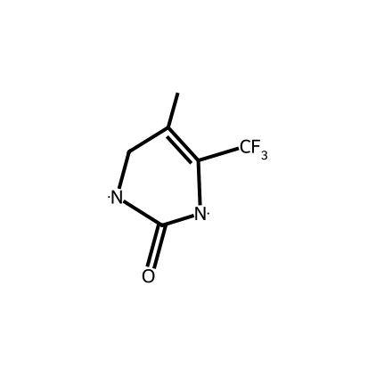 CC1=C(C(F)(F)F)[N]C(=O)[N]C1